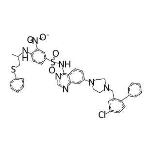 CC(CSc1ccccc1)Nc1ccc(S(=O)(=O)Nc2ncnc3cc(N4CCN(Cc5cc(Cl)ccc5-c5ccccc5)CC4)ccc23)cc1[N+](=O)[O-]